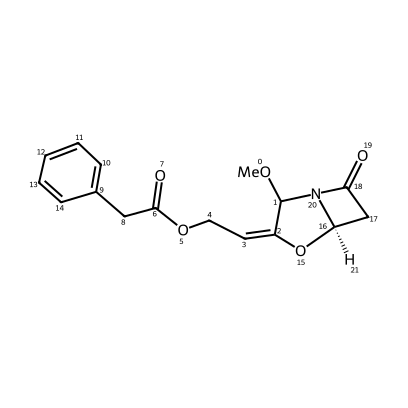 COC1/C(=C\COC(=O)Cc2ccccc2)O[C@@H]2CC(=O)N12